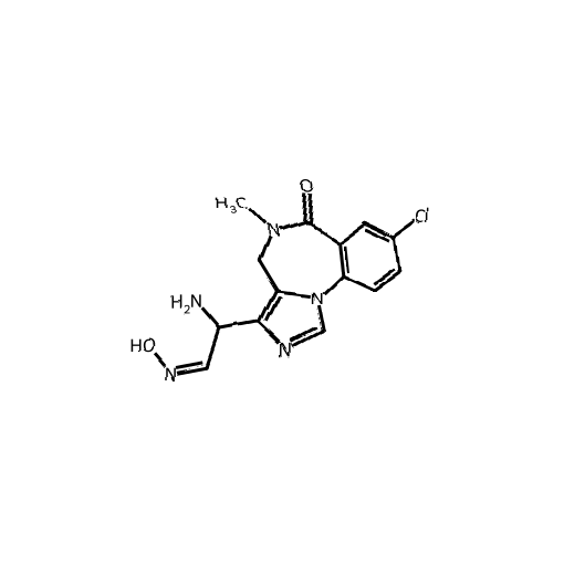 CN1Cc2c(C(N)/C=N\O)ncn2-c2ccc(Cl)cc2C1=O